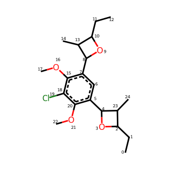 CCC1OC(c2cc(C3OC(CC)C3C)c(OC)c(Cl)c2OC)C1C